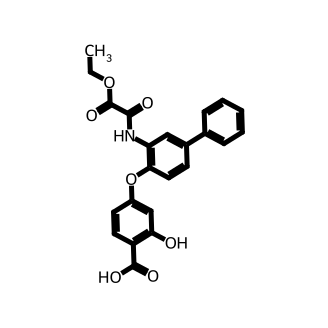 CCOC(=O)C(=O)Nc1cc(-c2ccccc2)ccc1Oc1ccc(C(=O)O)c(O)c1